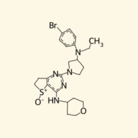 CCN(c1ccc(Br)cc1)C1CCN(c2nc3c(c(NC4CCOCC4)n2)[S+]([O-])CC3)C1